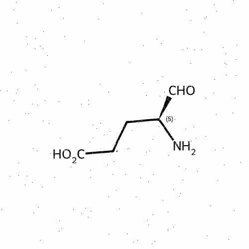 N[C@H](C=O)C[CH]C(=O)O